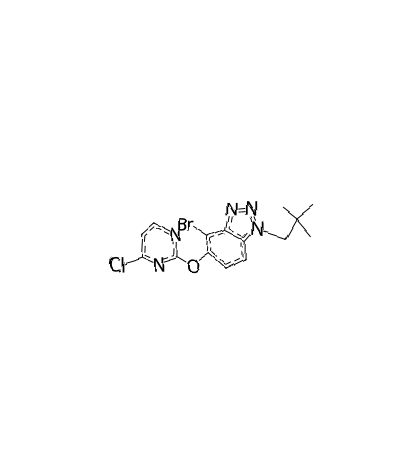 CC(C)(C)Cn1nnc2c(Br)c(Oc3nccc(Cl)n3)ccc21